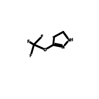 FC(F)(F)OC1=NNC[C]1